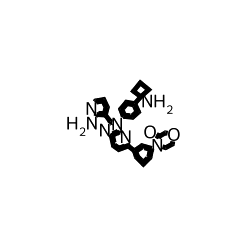 Nc1ncccc1-c1nc2ccc(-c3cccc(N4CCOCC4=O)c3)nc2n1-c1ccc(C2(N)CCC2)cc1